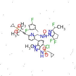 CC(F)c1nn(CC(=O)N[C@@H](Cc2cc(F)cc(F)c2)c2nc(C#CC(C)(C)S(=O)(=O)C3CC3)ccc2-c2ccc(Cl)c3c(NS(=O)(=O)CC4CC4)nn(C)c23)c2c1CCC2(F)F